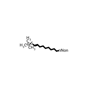 CCCCCCCCCCCCCCCCC=CS[Si](C)(C)C